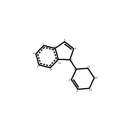 C1=CC(C2C=Cc3ccccc32)CCC1